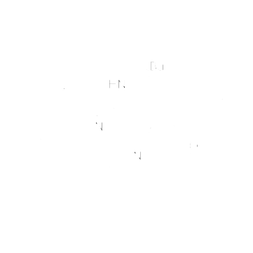 Cc1cc(C)n2c(NC(C)(C)C)c(-c3ccco3)nc2c1